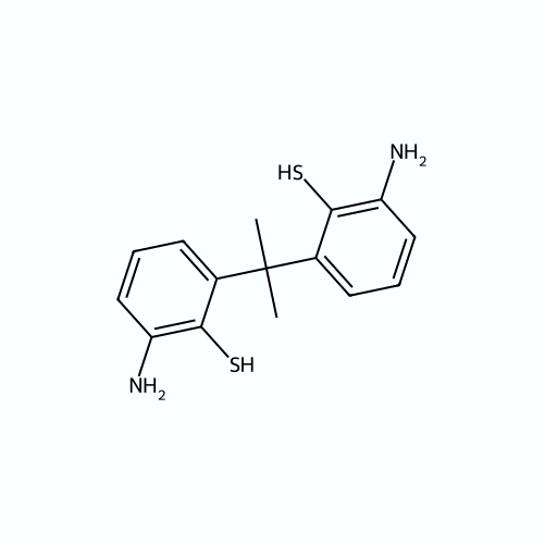 CC(C)(c1cccc(N)c1S)c1cccc(N)c1S